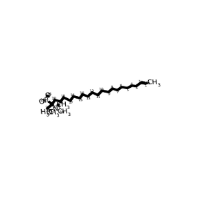 CC=CCCCCCCCCCCCCCCCCCCC(CC)(P(=O)=O)[N+](C)(C)C